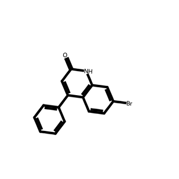 O=c1cc(-c2ccccc2)c2ccc(Br)cc2[nH]1